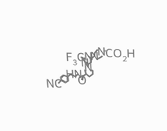 N#Cc1ccc(CCNC(=O)C2CCCN(c3cc(N4CCN(CC(=O)O)CC4)nc(C(F)(F)F)n3)C2)cc1